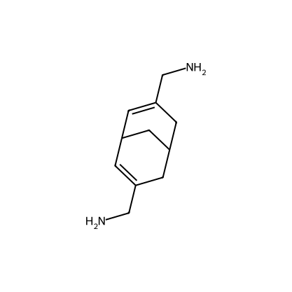 NCC1=CC2C=C(CN)CC(C1)C2